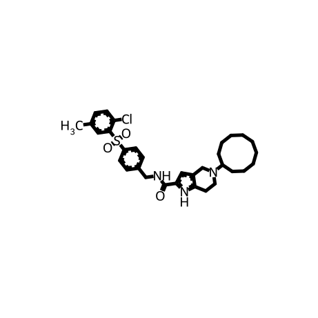 Cc1ccc(Cl)c(S(=O)(=O)c2ccc(CNC(=O)c3cc4c([nH]3)CCN(C3CCCCCCCCC3)C4)cc2)c1